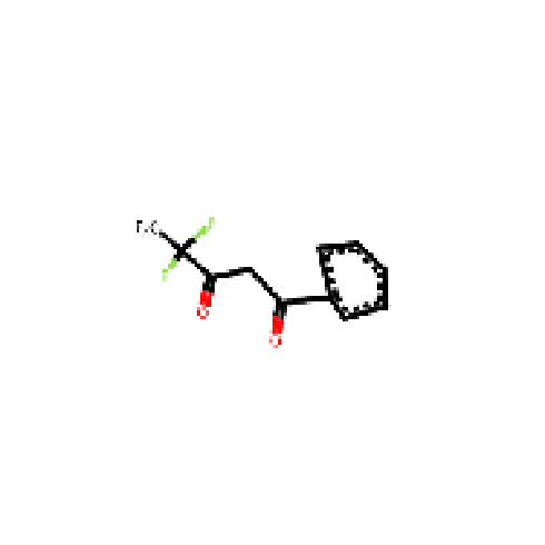 O=C(CC(=O)C(F)(F)C(F)(F)F)c1ccccc1